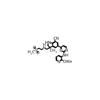 COc1ncccc1Nc1nccc(-c2cc(C#N)c3c(c2)C(C)(CNCCS(C)(=O)=O)CN3)n1